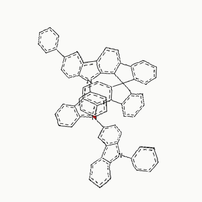 c1ccc(-c2ccc3c(c2)c2ccc4c(c2n3-c2ccccc2)C2(c3ccccc3-4)c3ccccc3-c3c2ccc2c4ccccc4n(-c4ccc5c(c4)c4ccccc4n5-c4ccccc4)c32)cc1